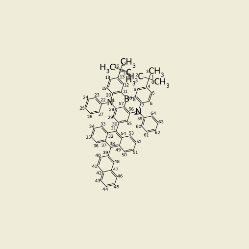 CC(C)(C)c1ccc2c(c1)B1c3cc(C(C)(C)C)ccc3N(c3ccccc3)c3cc(-c4c5ccccc5c(-c5ccc6ccccc6c5)c5ccccc45)cc(c31)N2c1ccccc1